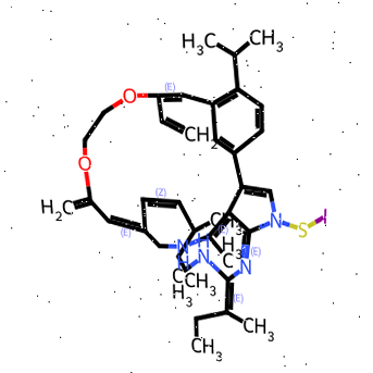 C=C/C1=C\c2cc(ccc2C(C)C)C2=CN(SI)C(=N/C(NC)=C(\C)CC)/C2=C(\C)NCC(/C=C\C(C)CC)=C/C(=C)OCCO1